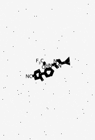 Cc1cc(C#N)ccc1-c1cccc(Nc2cnc(C3CC3)cn2)c1OCC(F)(F)F